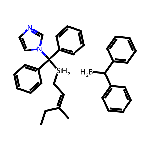 BC(c1ccccc1)c1ccccc1.CCC(C)=CC[SiH2]C(c1ccccc1)(c1ccccc1)n1ccnc1